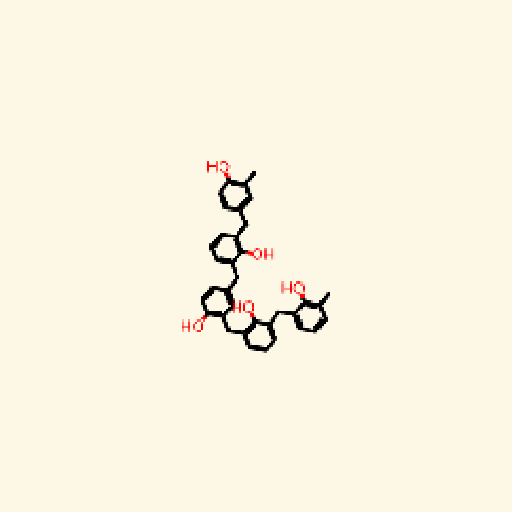 Cc1cc(Cc2cccc(Cc3ccc(O)c(Cc4cccc(Cc5cccc(C)c5O)c4O)c3)c2O)ccc1O